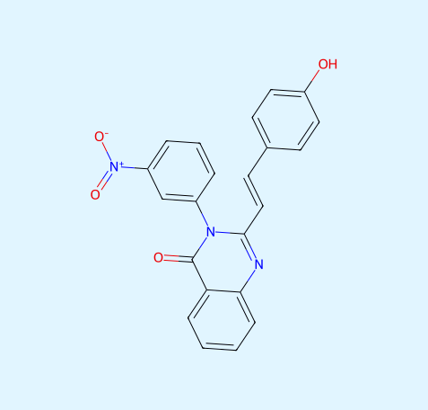 O=c1c2ccccc2nc(/C=C/c2ccc(O)cc2)n1-c1cccc([N+](=O)[O-])c1